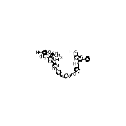 CCc1cnn2c(NCc3ccc(OCCN4CCN(CC5CCN(c6ncc(C(=O)NC7C(C)(C)C(Oc8ccc(C#N)c(Cl)c8)C7(C)C)cn6)CC5)CC4)nc3)cc(-c3ccccc3)nc12